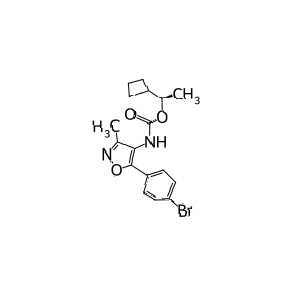 Cc1noc(-c2ccc(Br)cc2)c1NC(=O)O[C@H](C)C1CCC1